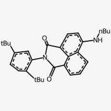 CCCCNc1ccc2c3c(cccc13)C(=O)N(c1cc(C(C)(C)C)ccc1C(C)(C)C)C2=O